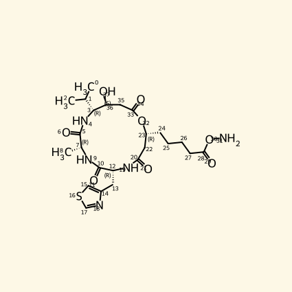 CC(C)[C@H]1NC(=O)[C@@H](C)NC(=O)[C@@H](Cc2cscn2)NC(=O)C[C@@H](CCCCC(=O)ON)OC(=O)C[C@@H]1O